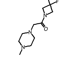 CN1CCN(CC(=O)N2CC(F)(F)C2)CC1